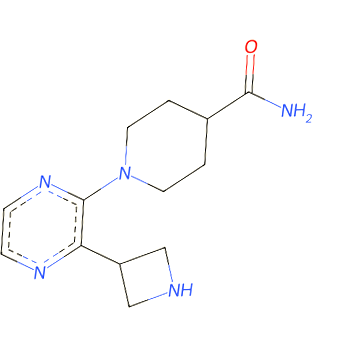 NC(=O)C1CCN(c2nccnc2C2CNC2)CC1